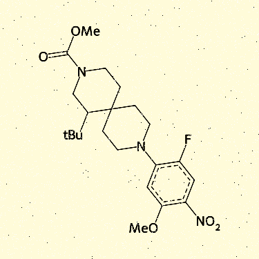 COC(=O)N1CCC2(CCN(c3cc(OC)c([N+](=O)[O-])cc3F)CC2)C(C(C)(C)C)C1